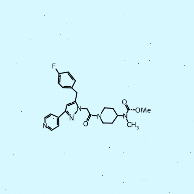 COC(=O)N(C)C1CCN(C(=O)Cn2nc(-c3ccncc3)cc2Cc2ccc(F)cc2)CC1